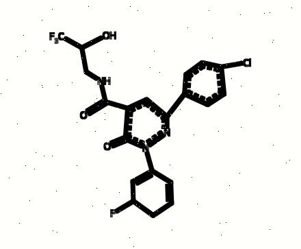 O=C(NCC(O)C(F)(F)F)c1cc(-c2ccc(Cl)cc2)nn(C2=CC(F)CC=C2)c1=O